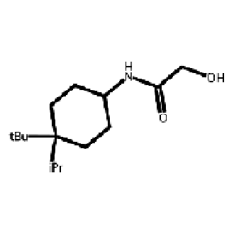 CC(C)C1(C(C)(C)C)CCC(NC(=O)CO)CC1